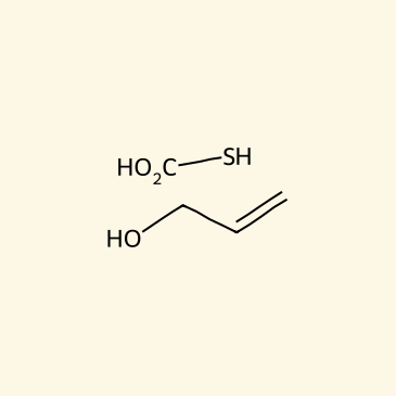 C=CCO.O=C(O)S